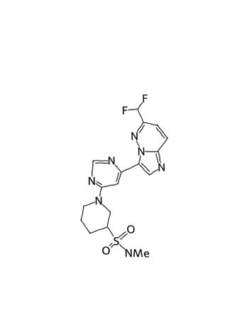 CNS(=O)(=O)C1CCCN(c2cc(-c3cnc4ccc(C(F)F)nn34)ncn2)C1